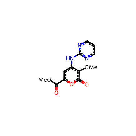 COC(=O)c1cc(Nc2ncccn2)c(OC)c(=O)o1